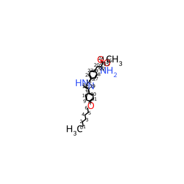 CCCCCCCOc1ccc(-c2c[nH]c(-c3ccc(CC(N)C(=O)OC)cc3)n2)cc1